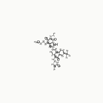 CCCn1c(=O)c2[nH]c(-c3ccc(N(CC4CC(=O)N(C)C4)C(=O)c4cccc(C(C)(C)C)c4)nc3)nc2n(CCCOC)c1=O